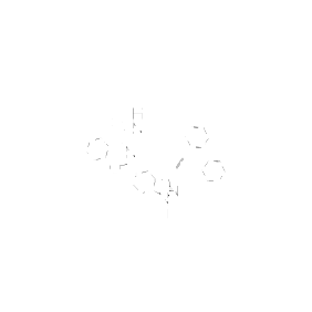 O=C1NCCN(C(=O)c2ccc3[nH]nc(C#Cc4ccccc4-c4ccccc4)c3c2)C1c1ccccc1